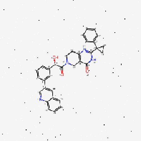 O=C([C@H](O)c1cccc(-c2cnc3ccccc3c2)c1)N1CCc2nc(C3(c4ccccc4)CC3)[nH]c(=O)c2C1